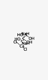 O=S(=O)(O)O.O=S(=O)(O)O.[Cl][Ca][Cl].[NaH].[NaH]